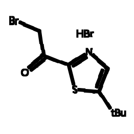 Br.CC(C)(C)c1cnc(C(=O)CBr)s1